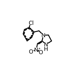 O=[N+]([O-])/C=C1\NCCN1Cc1ccccc1Cl